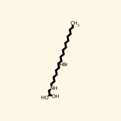 Br.CCCCCCCCCCCCCCCCCCCNCC(O)O